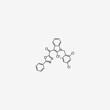 O=C(c1nnc(-c2ccccc2)o1)c1c(C(F)(F)F)n(Cc2ccc(Cl)cc2Cl)c2ccccc12